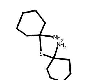 NC1(SC2(N)CCCCC2)CCCCC1